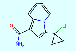 NC(=O)c1cc(C2(Cl)CC2)n2ccccc12